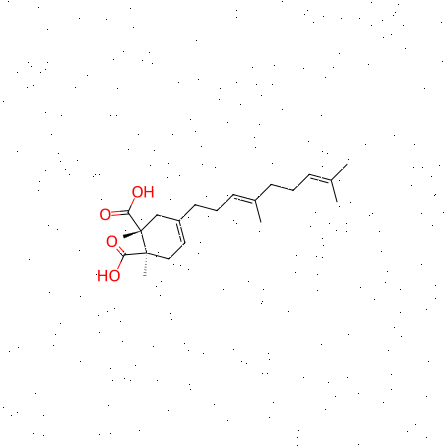 CC(C)=CCC/C(C)=C/CCC1=CC[C@@](C)(C(=O)O)[C@](C)(C(=O)O)C1